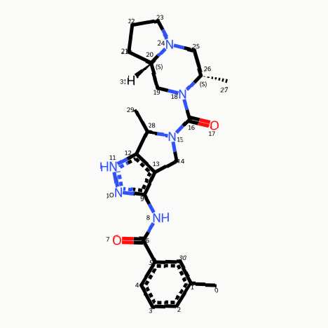 Cc1cccc(C(=O)Nc2n[nH]c3c2CN(C(=O)N2C[C@@H]4CCCN4C[C@@H]2C)C3C)c1